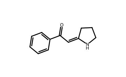 O=C(C=C1CCCN1)c1ccccc1